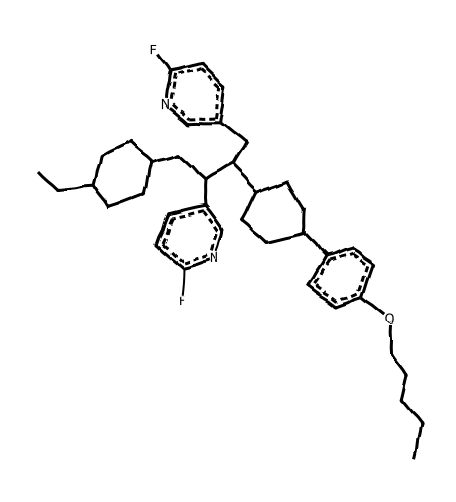 CCCCCOc1ccc(C2CCC(C(Cc3ccc(F)nc3)C(CC3CCC(CC)CC3)c3ccc(F)nc3)CC2)cc1